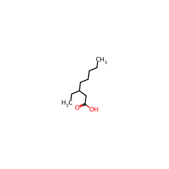 CCCCCC(CC)CC(=O)O